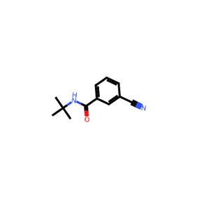 CC(C)(C)NC(=O)c1cccc(C#N)c1